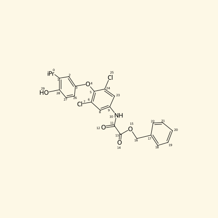 CC(C)c1cc(Oc2c(Cl)cc(NC(=O)C(=O)OCc3ccccc3)cc2Cl)ccc1O